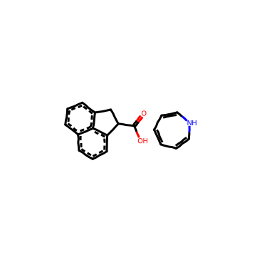 C1=CC=CNC=C1.O=C(O)C1Cc2cccc3cccc1c23